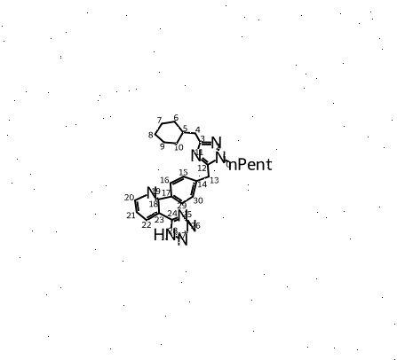 CCCCCn1nc(CC2CCCCC2)nc1Cc1ccc(-c2ncccc2-c2nnn[nH]2)cc1